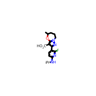 CC(C)Nc1ccc(-c2nn3c(c2C(=O)O)OC(C)CCC3)c(F)n1